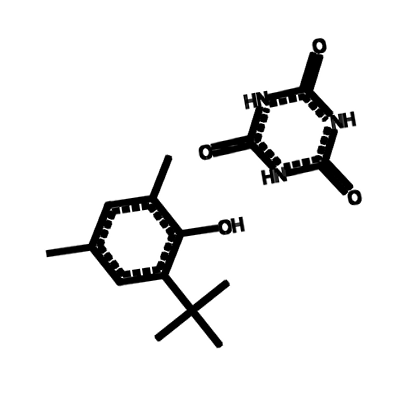 Cc1cc(C)c(O)c(C(C)(C)C)c1.O=c1[nH]c(=O)[nH]c(=O)[nH]1